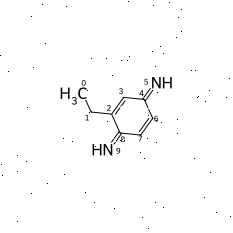 CCC1=CC(=N)C=CC1=N